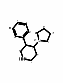 c1ccc(C2CNCCC2N2CCCC2)cc1